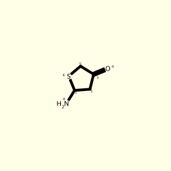 NC1CC(=O)CS1